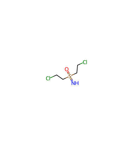 N=S(=O)(CCCl)CCCl